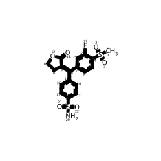 CS(=O)(=O)c1ccc(/C(=C2/CCOC2=O)c2ccc(S(N)(=O)=O)cc2)cc1F